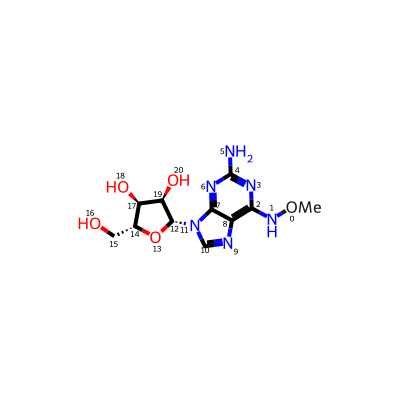 CONc1nc(N)nc2c1ncn2[C@@H]1O[C@H](CO)[C@@H](O)[C@H]1O